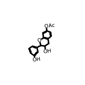 CC(=O)Oc1ccc2c(c1)OC(c1cccc(O)c1)C(O)C2